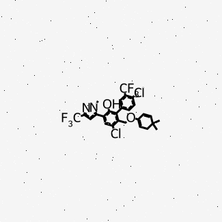 Cn1nc(C(F)(F)F)cc1-c1cc(Cl)c(COC2=CCC(C)(C)C=C2)c(-c2ccc(Cl)c(C(F)(F)F)c2)c1O